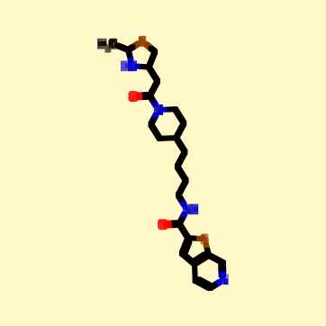 CC1NC(CC(=O)N2CCC(CCCCNC(=O)c3cc4ccncc4s3)CC2)CS1